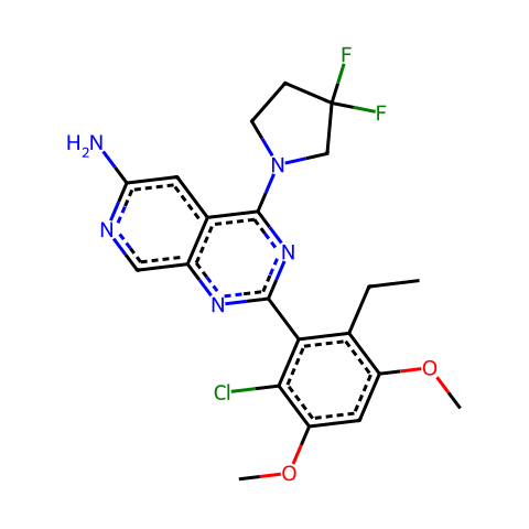 CCc1c(OC)cc(OC)c(Cl)c1-c1nc(N2CCC(F)(F)C2)c2cc(N)ncc2n1